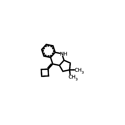 CC1(C)CC2Nc3ccccc3C(=C3CCC3)C2C1